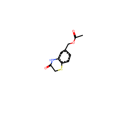 CC(=O)OCc1ccc2c(c1)NC(=O)CS2